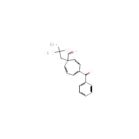 CC(C)(C)CC1(C=O)C=CC=C(C(=O)c2ccccc2)C=C1